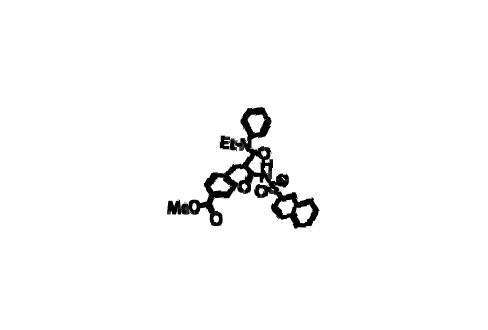 CCN(C(=O)C(Cc1ccc(C(=O)OC)cc1)C(=O)NS(=O)(=O)c1ccc2ccccc2c1)c1ccccc1